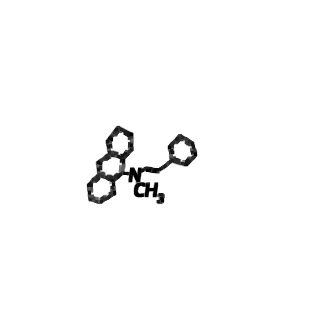 CN(C=Cc1ccccc1)c1c2ccccc2cc2ccccc12